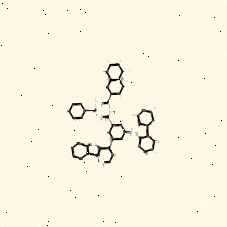 c1ccc(-c2nc(-c3cc(-c4ccnc5c4sc4ccccc45)cc(-n4c5ccccc5c5ccccc54)c3)nc(-c3ccc4ccccc4c3)n2)cc1